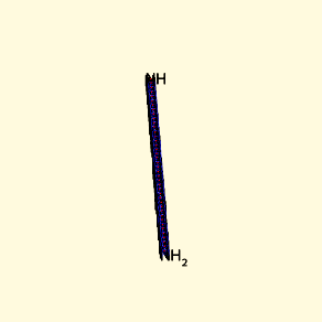 N=N/N=N/N=N/N=N/N=N/N=N/N=N/N=N/N=N/N=N/N=N/N=N/N=N/N=N/N=N/N=N/N=N/N=N/N=N/N=N/N=N/N=N/N=N/N=N/N=N/N=N/N=N/N=N/N=N/N=N/N=N/N=N/N=N/N=N/N=N/N=N/N=N/N=N/N=N/N=N/N